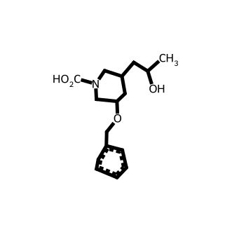 CC(O)CC1CC(OCc2ccccc2)CN(C(=O)O)C1